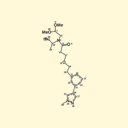 COC(CN(C(=O)CCOCCc1cccc(-c2cnn(C)c2)c1)C(C)C(C)(C)C)OC